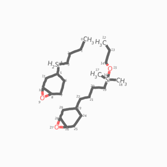 CCCC[SiH2]C1CCC2OC2C1.CCCO[Si](C)(C)CCCCC1CCC2OC2C1